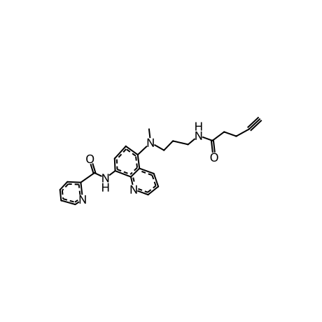 C#CCCC(=O)NCCCN(C)c1ccc(NC(=O)c2ccccn2)c2ncccc12